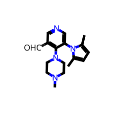 Cc1ccc(C)n1-c1cncc(C=O)c1N1CCN(C)CC1